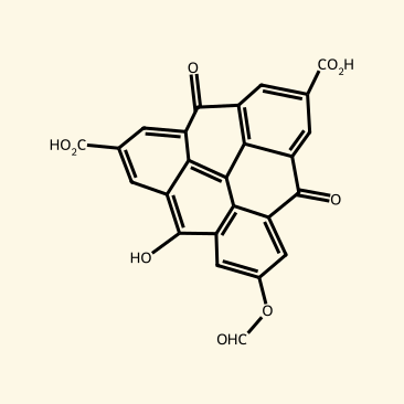 O=COc1cc2c(O)c3cc(C(=O)O)cc4c(=O)c5cc(C(=O)O)cc6c5-c(c2c(c1)c6=O)c34